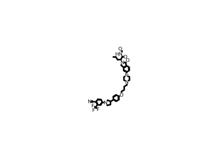 CCCC(C(=O)NC=O)N1Cc2cc(N3CCN(CCCCOc4ccc(C5CCN(c6ccc(C#N)c(C(F)(F)F)c6)C5)cc4)CC3)ccc2C1=O